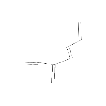 C=CC=CC(=C)C=C